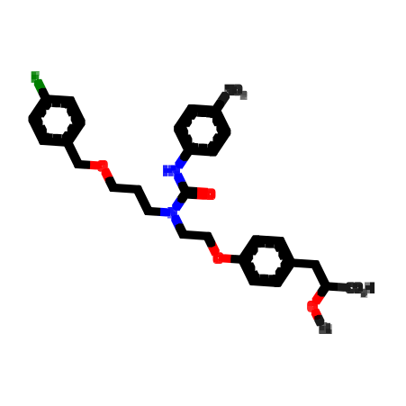 CCOC(Cc1ccc(OCCN(CCCOCc2ccc(F)cc2)C(=O)Nc2ccc([N+](=O)[O-])cc2)cc1)C(=O)O